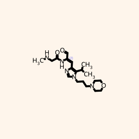 CNCC(=O)N/C(C=O)=C\c1ncn(CCCN2CCOCC2)c1C(C)C